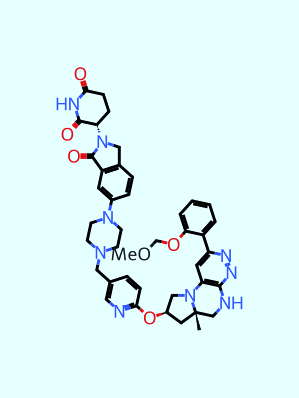 COCOc1ccccc1-c1cc2c(nn1)NC[C@]1(C)C[C@@H](Oc3ccc(CN4CCN(c5ccc6c(c5)C(=O)N([C@H]5CCC(=O)NC5=O)C6)CC4)cn3)CN21